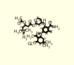 CC(=O)OC(CC(=O)OC1CC(Nc2cc(-n3nc(C)c4c3CC(C)(C)CC4=O)cc(F)c2C(N)=O)CCO1)C[N+](C)(C)C.[Cl-]